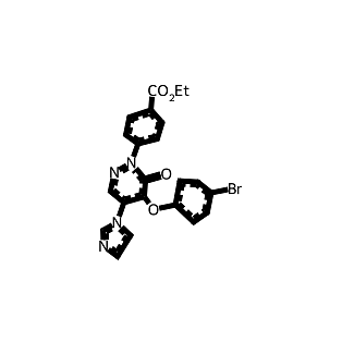 CCOC(=O)c1ccc(-n2ncc(-n3ccnc3)c(Oc3ccc(Br)cc3)c2=O)cc1